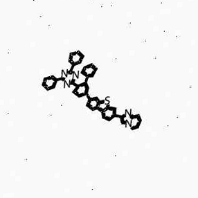 c1ccc(-c2nc(-c3ccccc3)nc(-c3ccc(-c4ccc5c(c4)sc4cc(-c6cn7ccccc7n6)ccc45)cc3-c3ccccc3)n2)cc1